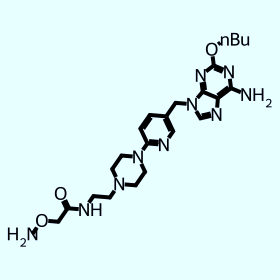 CCCCOc1nc(N)c2ncn(Cc3ccc(N4CCN(CCNC(=O)CON)CC4)nc3)c2n1